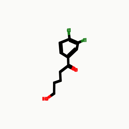 O=C(CCCCO)c1ccc(Cl)c(Cl)c1